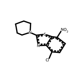 O=[N+]([O-])c1ccc(Cl)c2nc(N3CCCCC3)sc12